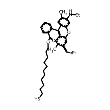 CCC/C=c1\cc2c(cc1C)=C(c1ccccc1C(=O)OCCCCCCCCCCCS)c1cc(C)c(NCC)cc1O2